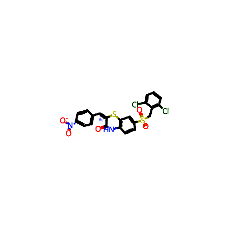 O=C1Nc2ccc(S(=O)(=O)Cc3c(Cl)cccc3Cl)cc2S/C1=C/c1ccc([N+](=O)[O-])cc1